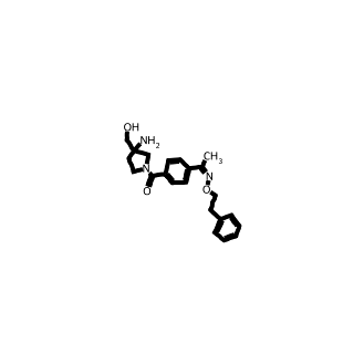 CC(=NOCCc1ccccc1)c1ccc(C(=O)N2CCC(N)(CO)C2)cc1